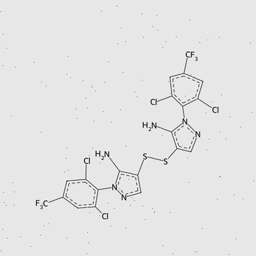 Nc1c(SSc2cnn(-c3c(Cl)cc(C(F)(F)F)cc3Cl)c2N)cnn1-c1c(Cl)cc(C(F)(F)F)cc1Cl